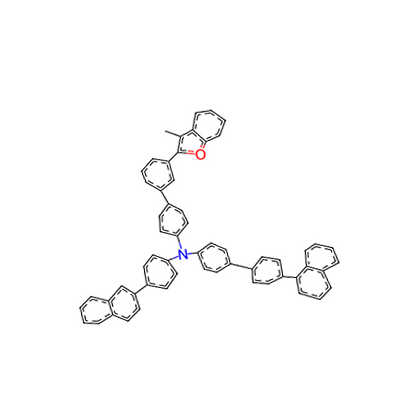 Cc1c(-c2cccc(-c3ccc(N(c4ccc(-c5ccc(-c6cccc7ccccc67)cc5)cc4)c4ccc(-c5ccc6ccccc6c5)cc4)cc3)c2)oc2ccccc12